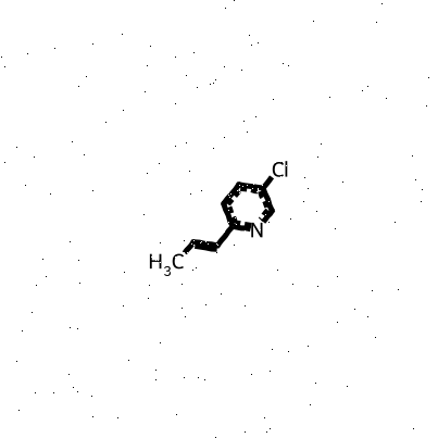 CC=Cc1ccc(Cl)cn1